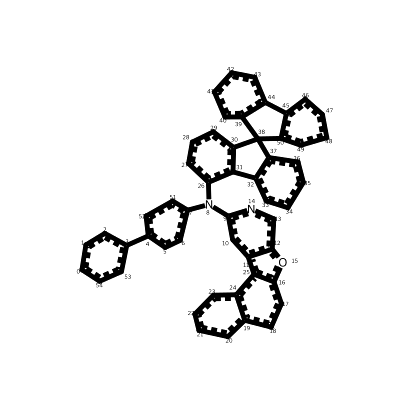 c1ccc(-c2ccc(N(c3cc4c(cn3)oc3ccc5ccccc5c34)c3cccc4c3-c3ccccc3C43c4ccccc4-c4ccccc43)cc2)cc1